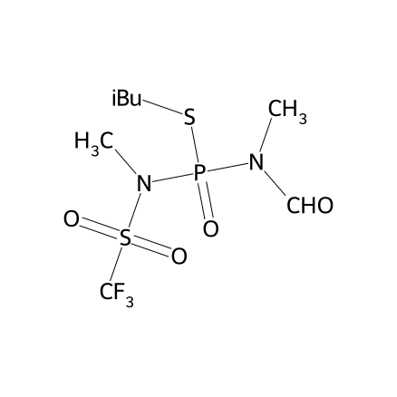 CCC(C)SP(=O)(N(C)C=O)N(C)S(=O)(=O)C(F)(F)F